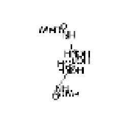 COc1ccccc1CNCCCCCCNC(O)C(O)SSC(O)C(O)NCCCCCCNCc1ccccc1OC